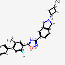 Cc1cc(-c2nc(-c3ccc4c(c3)CN([C@H]3C[C@H](C(=O)O)C3)C4)no2)c(F)cc1-c1cccc(F)c1